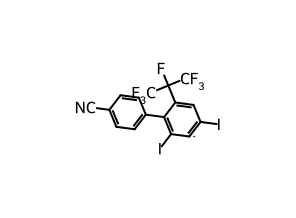 N#Cc1ccc(-c2c(I)[c]c(I)cc2C(F)(C(F)(F)F)C(F)(F)F)cc1